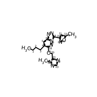 CCCCc1cc2nnc(-c3cc(C)on3)n2nc1OCc1ncnn1C